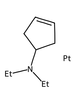 CCN(CC)C1CC=CC1.[Pt]